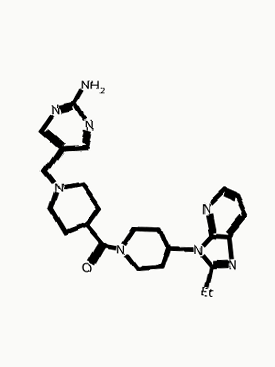 CCc1nc2cccnc2n1C1CCN(C(=O)C2CCN(Cc3cnc(N)nc3)CC2)CC1